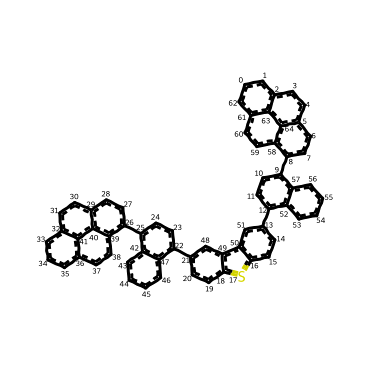 c1cc2ccc3ccc(-c4ccc(-c5ccc6sc7ccc(-c8ccc(-c9ccc%10ccc%11cccc%12ccc9c%10c%11%12)c9ccccc89)cc7c6c5)c5ccccc45)c4ccc(c1)c2c34